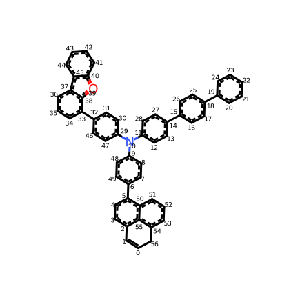 C1=Cc2ccc(-c3ccc(N(c4ccc(-c5ccc(-c6ccccc6)cc5)cc4)c4ccc(-c5cccc6c5oc5ccccc56)cc4)cc3)c3cccc(c23)C1